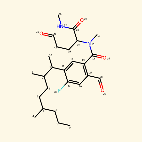 CCCC(C)CCC(C)C(C)c1cc(C(=O)N(C)C(CCC=O)C(=O)NC)c(C=O)cc1F